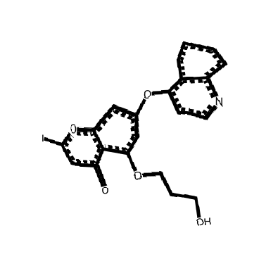 O=c1cc(I)oc2cc(Oc3ccnc4ccccc34)cc(OCCCO)c12